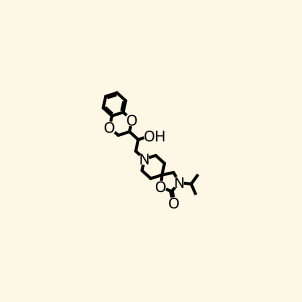 CC(C)N1CC2(CCN(CC(O)C3COc4ccccc4O3)CC2)OC1=O